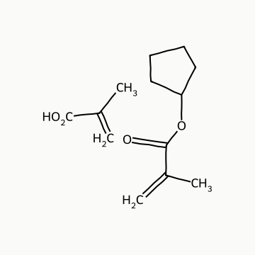 C=C(C)C(=O)O.C=C(C)C(=O)OC1CCCC1